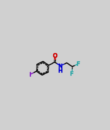 O=C(NCC(F)F)c1ccc(I)cc1